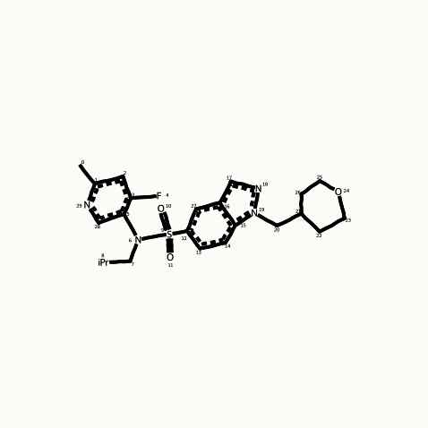 Cc1cc(F)c(N(CC(C)C)S(=O)(=O)c2ccc3c(cnn3CC3CCOCC3)c2)cn1